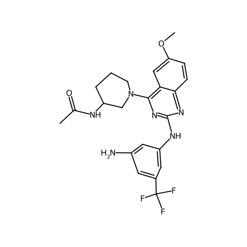 COc1ccc2nc(Nc3cc(N)cc(C(F)(F)F)c3)nc(N3CCCC(NC(C)=O)C3)c2c1